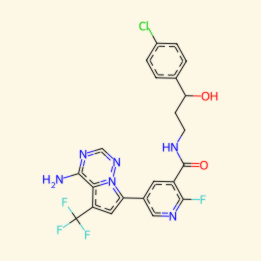 Nc1ncnn2c(-c3cnc(F)c(C(=O)NCCC(O)c4ccc(Cl)cc4)c3)cc(C(F)(F)F)c12